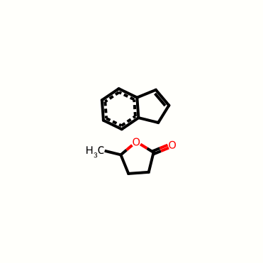 C1=Cc2ccccc2C1.CC1CCC(=O)O1